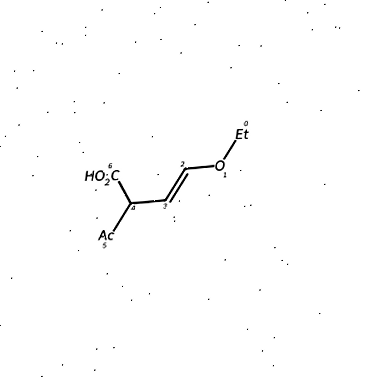 CCOC=CC(C(C)=O)C(=O)O